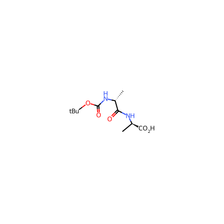 C[C@@H](NC(=O)[C@@H](C)NC(=O)OC(C)(C)C)C(=O)O